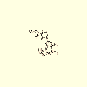 C=N/C(NC(=O)c1cccc(C(=O)OC)c1)=C1/NC=N/C1=N/C